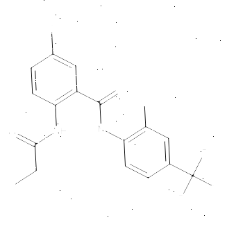 CCC(=O)Nc1ccc(Cl)cc1C(=O)Nc1ccc(C(F)(F)F)cc1Cl